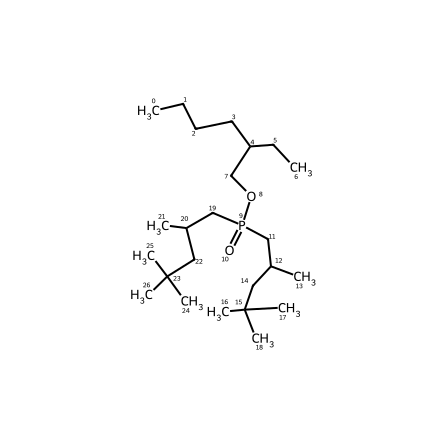 CCCCC(CC)COP(=O)(CC(C)CC(C)(C)C)CC(C)CC(C)(C)C